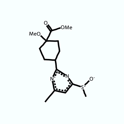 COC(=O)C1(OC)CCC(c2nc(C)cc([S+](C)[O-])n2)CC1